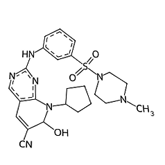 CN1CCN(S(=O)(=O)c2cccc(Nc3ncc4c(n3)N(C3CCCC3)C(O)C(C#N)=C4)c2)CC1